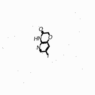 O=C1COc2cc(I)cnc2N1